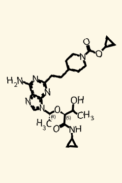 CC(O)[C@H](O[C@H](C)n1cnc2c(N)nc(CCC3CCN(C(=O)OC4CC4)CC3)nc21)C(=O)NC1CC1